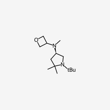 CN(C1COC1)[C@H]1CN(C(C)(C)C)C(C)(C)C1